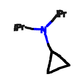 CC(C)N(C(C)C)C1CC1